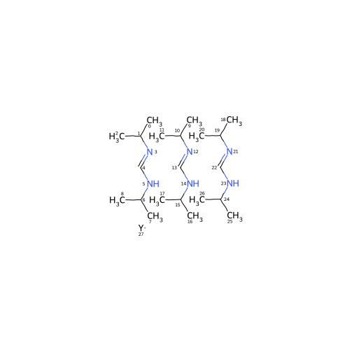 CC(C)N=CNC(C)C.CC(C)N=CNC(C)C.CC(C)N=CNC(C)C.[Y]